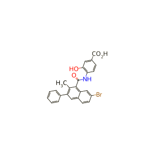 Cc1c(-c2ccccc2)cc2ccc(Br)cc2c1C(=O)Nc1ccc(C(=O)O)cc1O